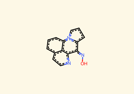 ON=c1c2nccc3cccc(c32)n2cccc12